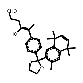 C/C(=C(/O)CCC=O)c1ccc(C2(c3cc4c(cc3C)C(C)(C)C=CC4(C)C)OCCO2)cc1